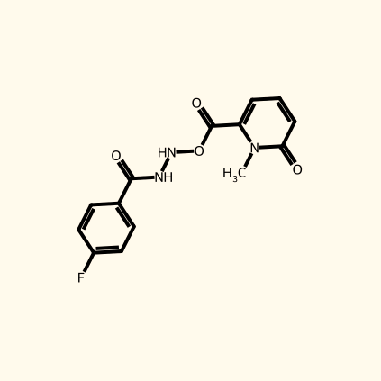 Cn1c(C(=O)ONNC(=O)c2ccc(F)cc2)cccc1=O